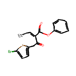 CCC=C(C(=O)Oc1ccccc1)C(=O)c1ccc(Br)s1